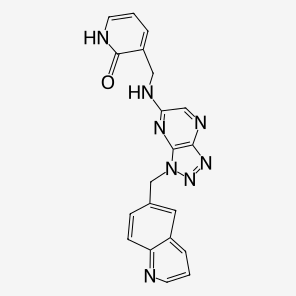 O=c1[nH]cccc1CNc1cnc2nnn(Cc3ccc4ncccc4c3)c2n1